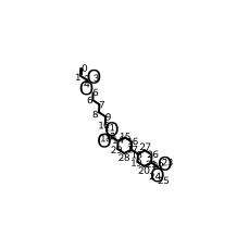 C=CC(=O)OCCCCCCOC(=O)C1CCC(C2CCC(C(=O)OC)CC2)CC1